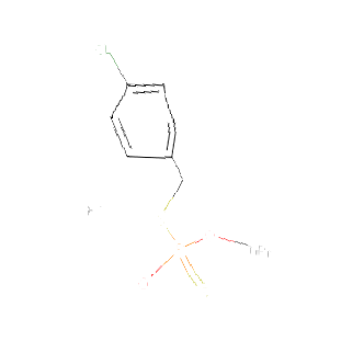 CCCOP([O-])(=S)SCc1ccc(Cl)cc1.[K+]